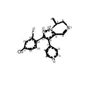 CC1CN=Cc2c(-c3ccncc3)c(-c3ccc(Cl)cc3F)nn21